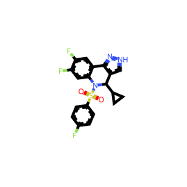 O=S(=O)(c1ccc(F)cc1)N1c2cc(F)c(F)cc2-c2n[nH]cc2C1C1CC1